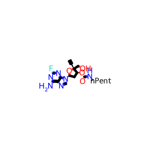 C#C[C@]1(CO)O[C@@H](n2cnc3c(N)nc(F)nc32)C[C@@H]1OC(=O)NCCCCC